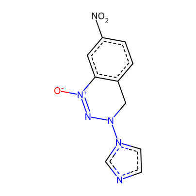 O=[N+]([O-])c1ccc2c(c1)[N+]([O-])=NN(n1ccnc1)C2